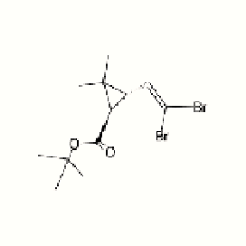 CC(C)(C)OC(=O)[C@@H]1[C@@H](C=C(Br)Br)C1(C)C